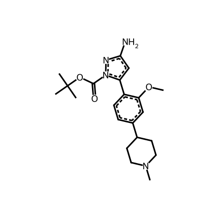 COc1cc(C2CCN(C)CC2)ccc1-c1cc(N)nn1C(=O)OC(C)(C)C